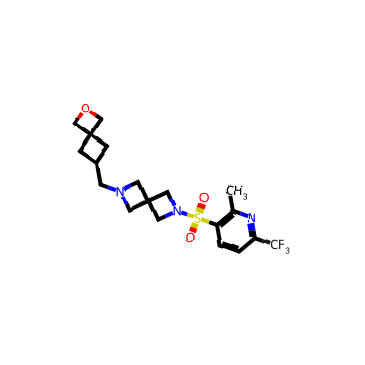 Cc1nc(C(F)(F)F)ccc1S(=O)(=O)N1CC2(CN(CC3CC4(COC4)C3)C2)C1